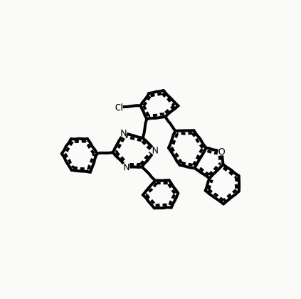 Clc1cccc(-c2ccc3c(c2)oc2ccccc23)c1-c1nc(-c2ccccc2)nc(-c2ccccc2)n1